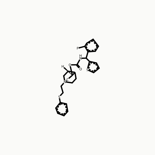 O=C(NC(c1cccs1)c1ccccc1F)O[C@H]1C[N+]2(CCSc3ccccc3)CCC1CC2